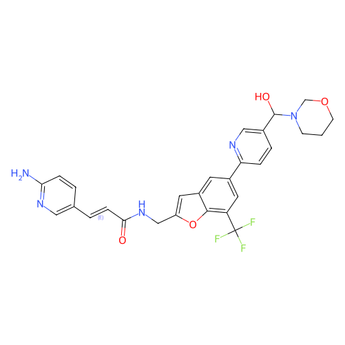 Nc1ccc(/C=C/C(=O)NCc2cc3cc(-c4ccc(C(O)N5CCCOC5)cn4)cc(C(F)(F)F)c3o2)cn1